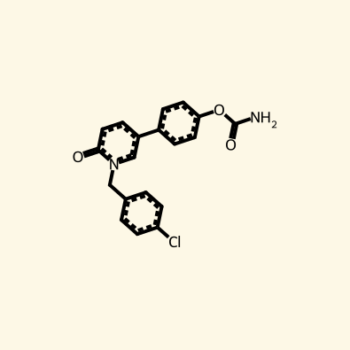 NC(=O)Oc1ccc(-c2ccc(=O)n(Cc3ccc(Cl)cc3)c2)cc1